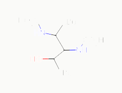 CC(C)(C)C(O)C(NC(=O)O)C(NC(=O)O)C(C)(C)C